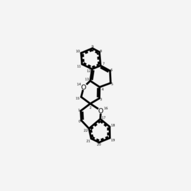 C1=CC2(C=C3CC=c4ccccc4=C3OC2)Oc2ccccc21